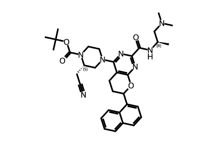 C[C@H](CN(C)C)NC(=O)c1nc2c(c(N3CCN(C(=O)OC(C)(C)C)[C@@H](CC#N)C3)n1)CCC(c1cccc3ccccc13)O2